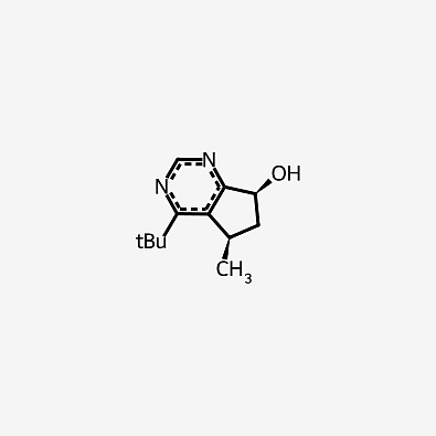 C[C@@H]1C[C@H](O)c2ncnc(C(C)(C)C)c21